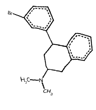 CN(C)C1Cc2ccccc2C(c2cccc(Br)c2)C1